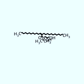 CCCCCCCCCCCC=C(CCCCCCCCCCCC)C(=O)N(CC(O)CO)C(C)C